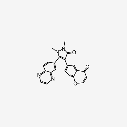 Cn1c(-c2ccc3nccnc3c2)c(-c2ccc3occc(=O)c3c2)c(=O)n1C